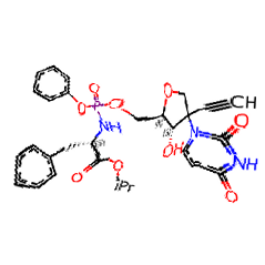 C#CC1(n2ccc(=O)[nH]c2=O)CO[C@H](COP(=O)(N[C@@H](Cc2ccccc2)C(=O)OC(C)C)Oc2ccccc2)[C@H]1O